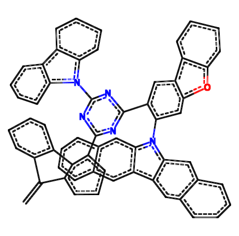 C=C1c2ccccc2-c2c1cccc2-c1nc(-c2cc3c(cc2-n2c4cc5ccccc5cc4c4cc5ccccc5cc42)oc2ccccc23)nc(-n2c3ccccc3c3ccccc32)n1